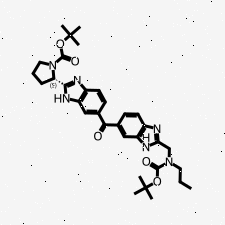 CCCN(Cc1nc2ccc(C(=O)c3ccc4nc([C@@H]5CCCN5C(=O)OC(C)(C)C)[nH]c4c3)cc2[nH]1)C(=O)OC(C)(C)C